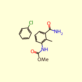 COC(=O)Nc1cccc(C(N)=O)c1C.Clc1ccccc1